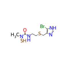 CN(S)C(=O)NCCSCc1nc[nH]c1Br